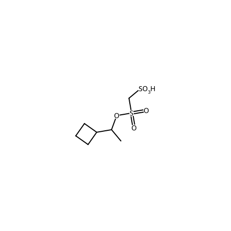 CC(OS(=O)(=O)CS(=O)(=O)O)C1CCC1